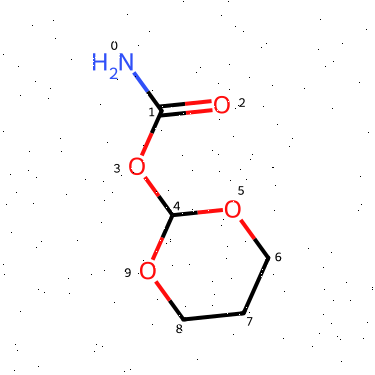 NC(=O)OC1OCCCO1